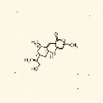 C=C(CO)[C@H]1C[C@@H](C)C2=Cc3c(cc(C)oc3=O)O[C@H]2C1